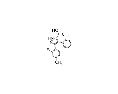 Cc1ccc(-c2n[nH]c(C(C)O)c2-c2ccccc2)c(F)c1